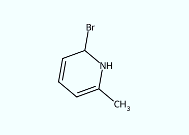 CC1=CC=CC(Br)N1